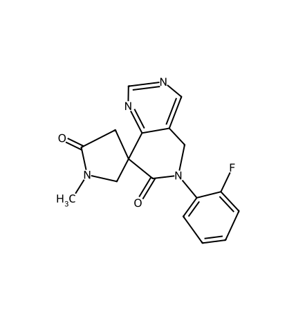 CN1CC2(CC1=O)C(=O)N(c1ccccc1F)Cc1cncnc12